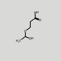 CC(O)OCCC([NH])=O